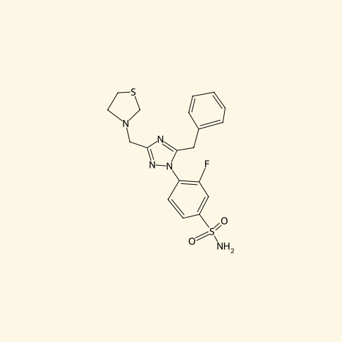 NS(=O)(=O)c1ccc(-n2nc(CN3CCSC3)nc2Cc2ccccc2)c(F)c1